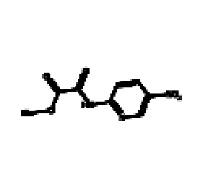 CC(C)(C)OC(=O)C(=O)Nc1ccc([N+](=O)[O-])cn1